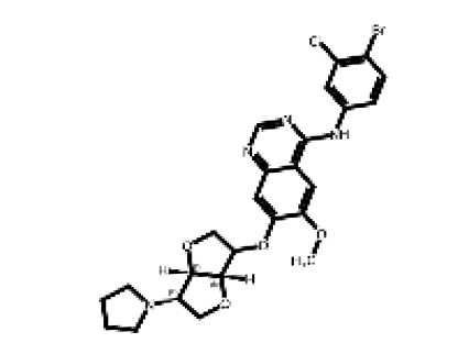 COc1cc2c(Nc3ccc(Br)c(Cl)c3)ncnc2cc1OC1CO[C@H]2[C@H](N3CCCC3)CO[C@@H]12